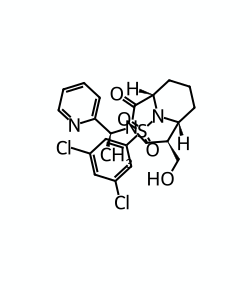 C[C@@H](c1ccccn1)N1C[C@H](CO)[C@H]2CCC[C@@H](C1=O)N2S(=O)(=O)c1cc(Cl)cc(Cl)c1